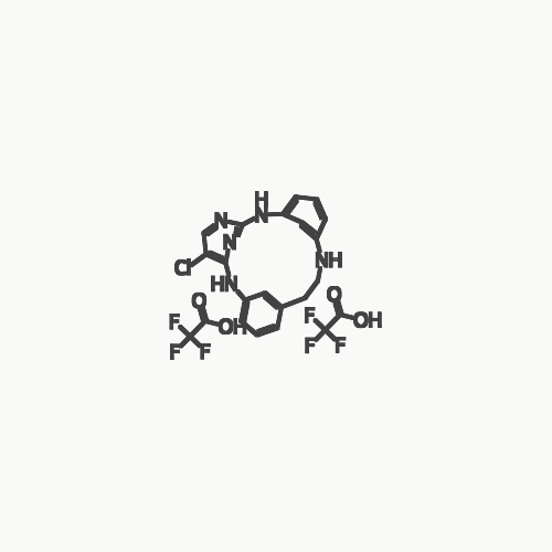 Clc1cnc2nc1Nc1cccc(c1)CCNc1cccc(c1)N2.O=C(O)C(F)(F)F.O=C(O)C(F)(F)F